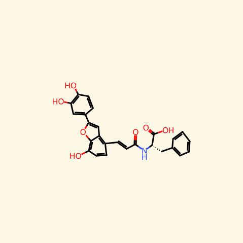 O=C(C=Cc1ccc(O)c2oc(-c3ccc(O)c(O)c3)cc12)N[C@@H](Cc1ccccc1)C(=O)O